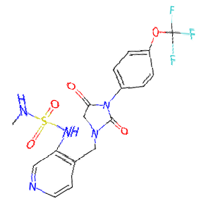 CNS(=O)(=O)Nc1cnccc1CN1CC(=O)N(c2ccc(OC(F)(F)F)cc2)C1=O